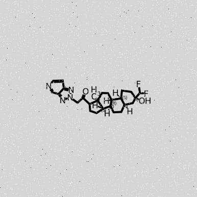 C[C@]12CC[C@H]3[C@@H](CC[C@@H]4C[C@@](O)(C(F)F)CC[C@@H]43)[C@@H]1CCC2C(=O)Cn1nc2ccncc2n1